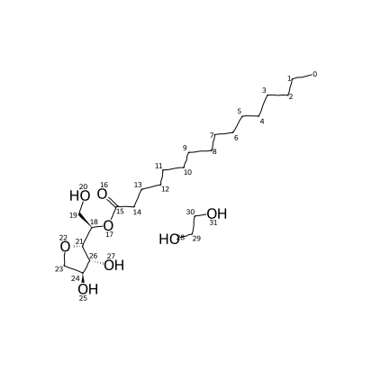 CCCCCCCCCCCCCCCC(=O)O[C@H](CO)[C@H]1OC[C@H](O)[C@H]1O.OCCO